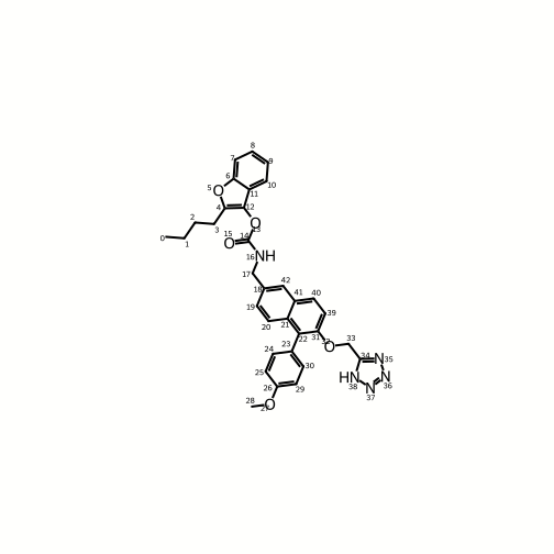 CCCCc1oc2ccccc2c1OC(=O)NCc1ccc2c(-c3ccc(OC)cc3)c(OCc3nnn[nH]3)ccc2c1